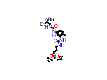 CCCCC(CC)CNC(=O)Nc1ccc(C)c(NC(=O)NCCC[Si](C)(O[Si](C)(C)C)O[Si](C)(C)C)c1